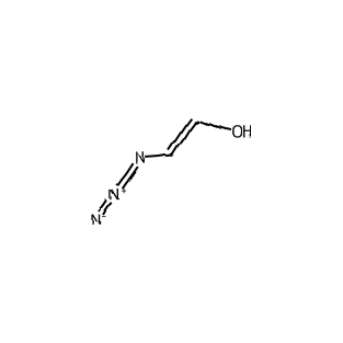 [N-]=[N+]=NC=CO